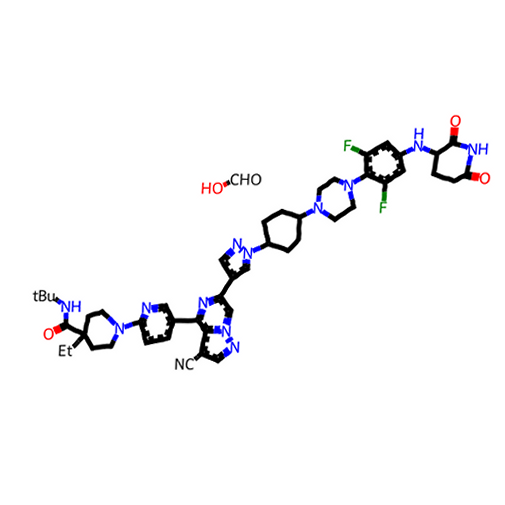 CCC1(C(=O)NC(C)(C)C)CCN(c2ccc(-c3nc(-c4cnn(C5CCC(N6CCN(c7c(F)cc(NC8CCC(=O)NC8=O)cc7F)CC6)CC5)c4)cn4ncc(C#N)c34)cn2)CC1.O=CO